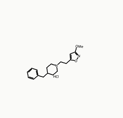 COc1cc(CCN2CCC(Cc3ccccc3)CC2)on1.Cl